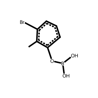 Cc1c(Br)cccc1OB(O)O